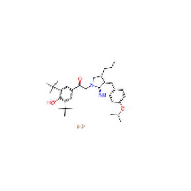 Br.CCCC1CN(CC(=O)c2cc(C(C)(C)C)c(O)c(C(C)(C)C)c2)C(=N)C1=Cc1ccc(OC(C)C)cc1